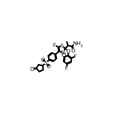 CC(C(N)=O)C1(Oc2ccc(F)cc2F)SC(F)=C(c2ccc(S(=O)(=O)C3CCC(=O)C3)cc2)N1Cl